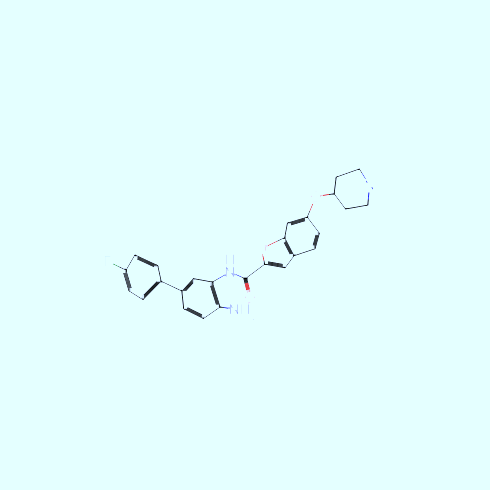 Nc1ccc(-c2ccc(F)cc2)cc1NC(=O)c1cc2ccc(OC3CCNCC3)cc2o1